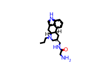 CCCN1C[C@H](CNC(=O)CN)C[C@@H]2c3cccc4[nH]cc(c34)C[C@H]21